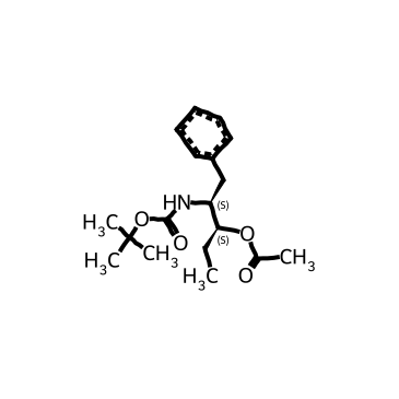 CC[C@H](OC(C)=O)[C@H](Cc1ccccc1)NC(=O)OC(C)(C)C